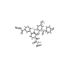 CNC(=O)c1ccc(C)c(-c2ccc(NC(=O)[C@H](C)NC)c(=O)n2Cc2cc(C(=O)c3ccc(F)cc3)cc(C(F)(F)F)c2)c1